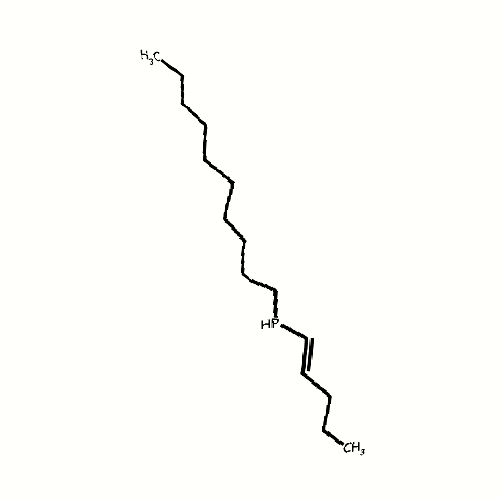 CCCC=CPCCCCCCCCCC